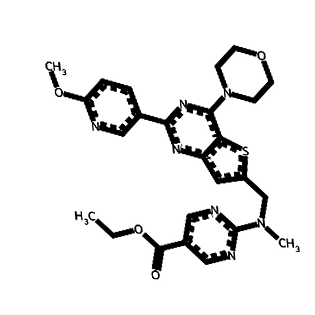 CCOC(=O)c1cnc(N(C)Cc2cc3nc(-c4ccc(OC)nc4)nc(N4CCOCC4)c3s2)nc1